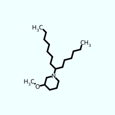 CCCCCCCC(CCCCCC)N1CCCC(OC)C1